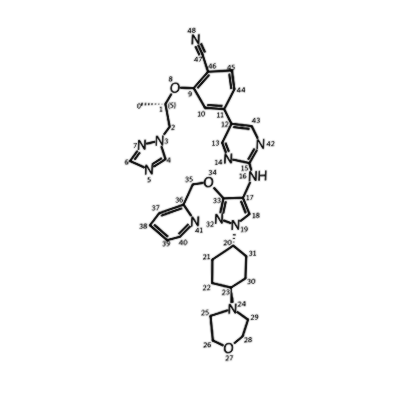 C[C@@H](Cn1cncn1)Oc1cc(-c2cnc(Nc3cn([C@H]4CC[C@H](N5CCOCC5)CC4)nc3OCc3ccccn3)nc2)ccc1C#N